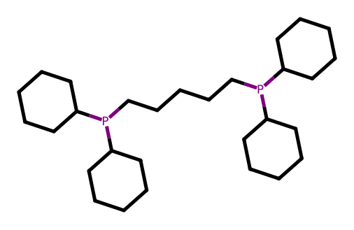 C1CCC(P(CCCCCP(C2CCCCC2)C2CCCCC2)C2CCCCC2)CC1